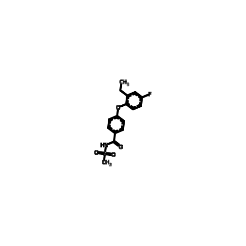 CCc1cc(F)ccc1Oc1ccc(C(=O)NS(C)(=O)=O)cc1